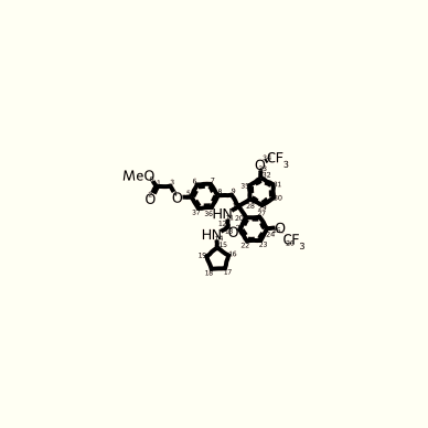 COC(=O)COc1ccc(CC(NC(=O)NC2CCCC2)(c2cccc(OC(F)(F)F)c2)c2cccc(OC(F)(F)F)c2)cc1